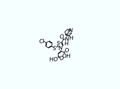 O=C(O)/C=C(\C(=O)O)N1C=C(C(=O)N[C@H]2CN3CCC2CC3)SC1Sc1ccc(Cl)cc1